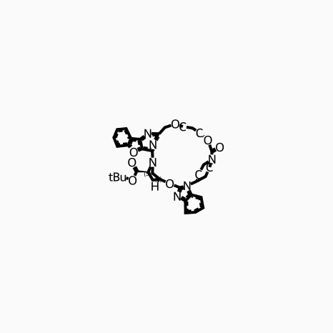 CC(C)(C)OC(=O)[C@@H]1C[C@H]2CN1c1nc(nc3c1oc1ccccc13)COCCCOC(=O)N1CCC(CC1)n1c(nc3ccccc31)O2